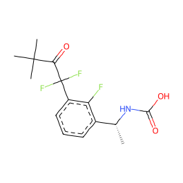 C[C@@H](NC(=O)O)c1cccc(C(F)(F)C(=O)C(C)(C)C)c1F